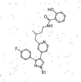 CCn1cc(-c2ccnc(CC(C)CCNC(=O)c3ccccc3O)c2)c(-c2ccc(F)cc2)n1